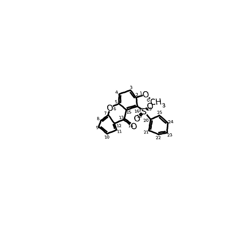 COc1ccc2oc3ccccc3c(=O)c2c1S(=O)(=O)c1ccccc1